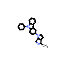 CC1N=Cc2c1ccn2-c1ccc2c(c1)c1ccccc1n2-c1ccccc1